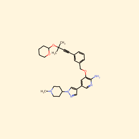 CN1CCC(n2cc(-c3cnc(N)c(OCc4cccc(C#CC(C)(C)OC5CCCCO5)c4)c3)cn2)CC1